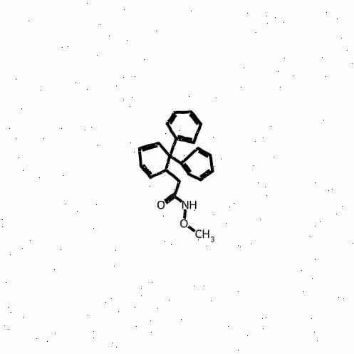 CONC(=O)CC1C=CC=CC1(c1ccccc1)c1ccccc1